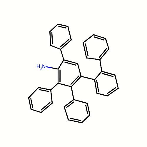 Nc1c(-c2ccccc2)cc(-c2ccccc2-c2ccccc2)c(-c2ccccc2)c1-c1ccccc1